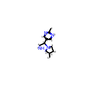 Cc1ncc(C(CN)N2CCC(C)C2)cn1